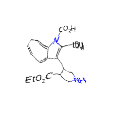 CCOC(=O)C1CNCC1c1c(C(C)(C)C)n(C(=O)O)c2ccccc12